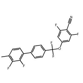 Cc1ccc(-c2ccc(C(F)(F)Oc3cc(F)c(C#N)c(F)c3)cc2)c(F)c1F